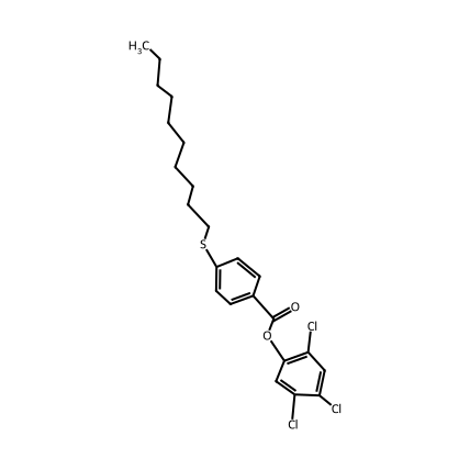 CCCCCCCCCCSc1ccc(C(=O)Oc2cc(Cl)c(Cl)cc2Cl)cc1